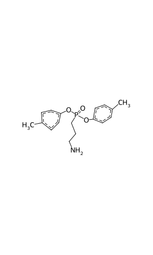 Cc1ccc(OP(=O)(CCCN)Oc2ccc(C)cc2)cc1